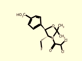 CC1(C)O[C@H](c2ccc(C(=O)O)cc2)[C@@H](CF)N1C(=O)C(Cl)Cl